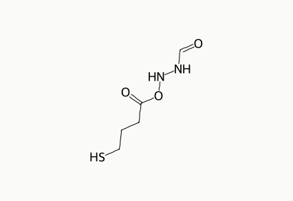 O=CNNOC(=O)CCCS